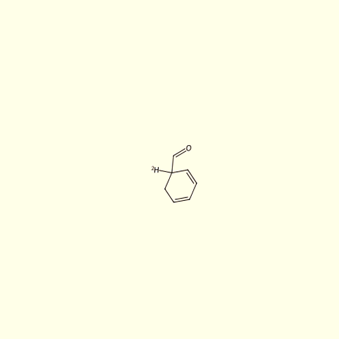 [2H]C1(C=O)C=CC=CC1